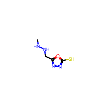 CNNCc1nnc(S)o1